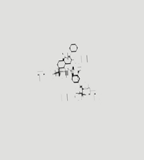 Cc1c(-c2ccccc2)nc2ccc(S(C)(C)C)cc2c1C(=O)Nc1ccc(C(=O)OC(C)(C)C)cc1F